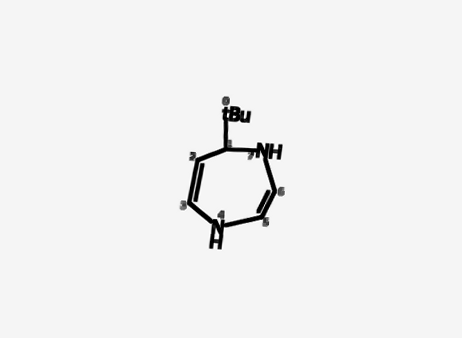 CC(C)(C)C1C=CNC=CN1